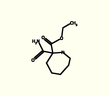 CCOC(=O)C1(C(N)=O)CCCCC[N]1